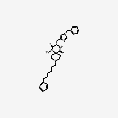 CCCN1C(=O)[C@H](Cc2cn(Cc3ccccc3)cn2)NC(=O)C12CCN(CCCCCCc1ccccc1)CC2